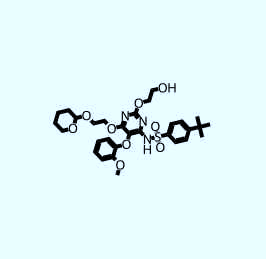 COc1ccccc1Oc1c(NS(=O)(=O)c2ccc(C(C)(C)C)cc2)nc(OCCO)nc1OCCOC1CCCCO1